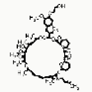 COCCNC1CC2CCCC(O)(O2)C(=O)C(=O)N2CCCCC2C(=O)OC(C(C)CC2CCC(OCCO)C(OC)C2)CCC(C)/C=C(\C)C(O)C(OC)C(=O)C(C)CC(C)/C=C/C=C/C=C/1C